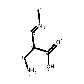 C/N=C/C(CN)C(=O)O